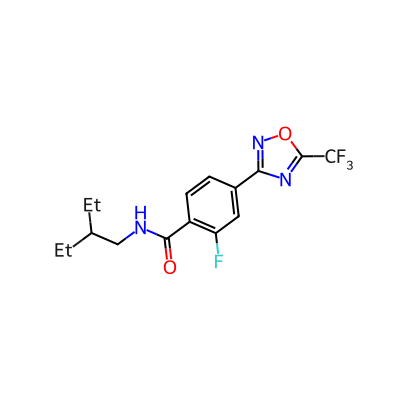 CCC(CC)CNC(=O)c1ccc(-c2noc(C(F)(F)F)n2)cc1F